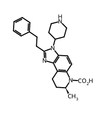 C[C@H]1CCc2c(ccc3c2nc(CCc2ccccc2)n3C2CCNCC2)N1C(=O)O